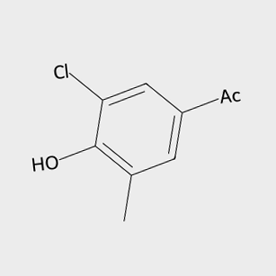 CC(=O)c1cc(C)c(O)c(Cl)c1